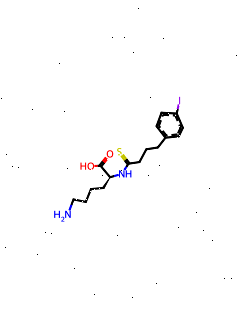 NCCCC[C@H](NC(=S)CCCc1ccc(I)cc1)C(=O)O